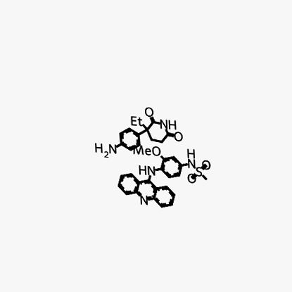 CCC1(c2ccc(N)cc2)CCC(=O)NC1=O.COc1cc(NS(C)(=O)=O)ccc1Nc1c2ccccc2nc2ccccc12